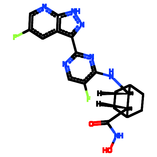 O=C(NO)[C@H]1C2CCC(CC2)[C@@H]1Nc1nc(-c2n[nH]c3ncc(F)cc23)ncc1F